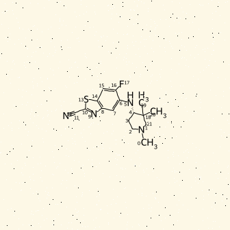 CN1CC[C@H](Nc2cc3nc(C#N)sc3cc2F)C(C)(C)C1